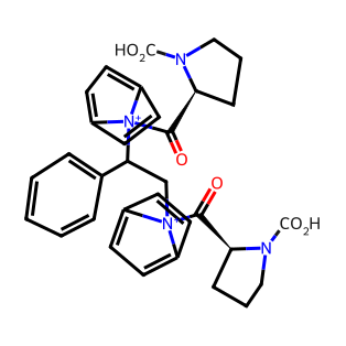 O=C(O)N1CCC[C@H]1C(=O)[N+]1(CC(c2ccccc2)[N+]2(C(=O)[C@@H]3CCCN3C(=O)O)C3=CC=C2C=C3)C2=CC=C1C=C2